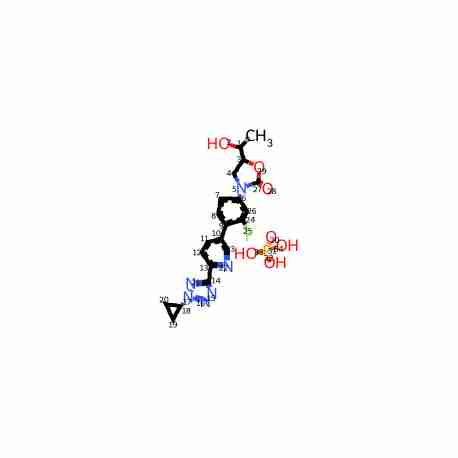 CC(O)C1CN(c2ccc(-c3ccc(-c4nnn(C5CC5)n4)nc3)c(F)c2)C(=O)O1.O=P(O)(O)O